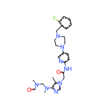 Cc1c(N(C)CN(C)C=O)ncn1CC(=O)Nc1ccc(N2CCN(Cc3ccccc3F)CC2)cn1